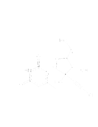 Cc1cc(=O)[nH]c(=O)n1[C@@H]1OC([C@@H](C)O)[C@H](O)C1(O)C#CCl